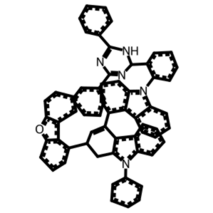 C1=C(c2cccc3c2c2ccccc2n3-c2ccccc2C2N=C(c3ccccc3)N=C(c3ccccc3)N2)c2c(n(-c3ccccc3)c3ccccc23)CC1c1cccc2oc3ccccc3c12